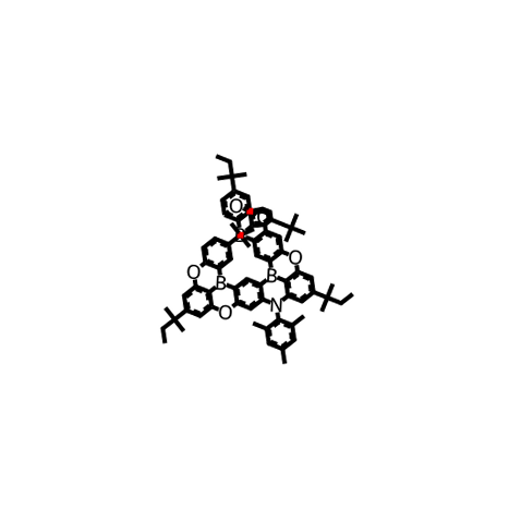 CCC(C)(C)c1cc2c3c(c1)Oc1cc4c(cc1B3c1cc(C(C)(C)C)ccc1O2)B1c2cc3c(cc2N(c2c(C)cc(C)cc2C)c2cc(C(C)(C)CC)cc(c21)O4)Oc1cc(C(C)(C)CC)cc2c1B3c1cc(C(C)(C)C)ccc1O2